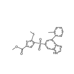 COC(=O)c1cc(S(=O)(=O)c2cc(-c3ccccc3C)c3nc[nH]c3c2)c(SC)s1